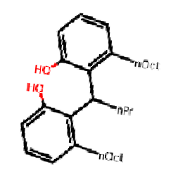 CCCCCCCCc1cccc(O)c1C(CCC)c1c(O)cccc1CCCCCCCC